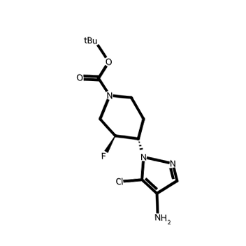 CC(C)(C)OC(=O)N1CC[C@H](n2ncc(N)c2Cl)[C@@H](F)C1